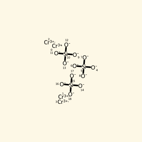 [Cr+3].[Cr+3].[Cr+3].[Cr+3].[O-][Si]([O-])([O-])[O-].[O-][Si]([O-])([O-])[O-].[O-][Si]([O-])([O-])[O-]